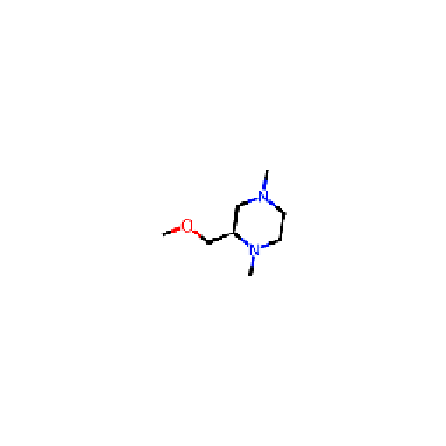 COC[C@H]1CN(C)CCN1C